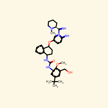 COc1c(CO)cc(C(C)(C)C)cc1NC(=O)NC1CCC(Oc2ccc(=N)n(C(=N)[C@@H]3CCCCN3C)c2)c2ccccc21